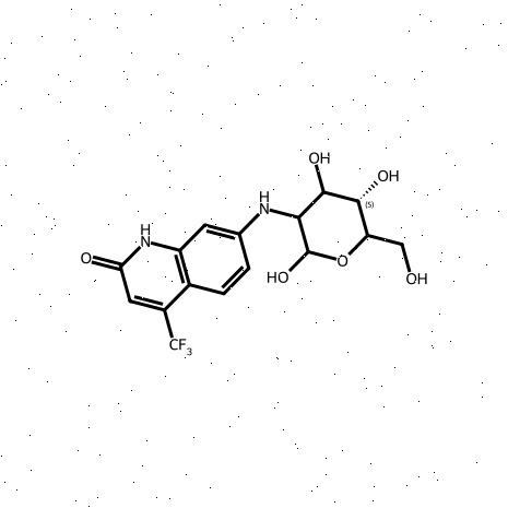 O=c1cc(C(F)(F)F)c2ccc(NC3C(O)OC(CO)[C@@H](O)C3O)cc2[nH]1